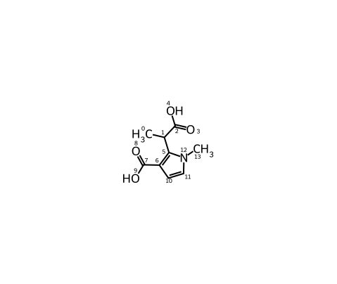 CC(C(=O)O)c1c(C(=O)O)ccn1C